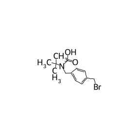 CC(C)(C)N(Cc1ccc(CBr)cc1)C(=O)O